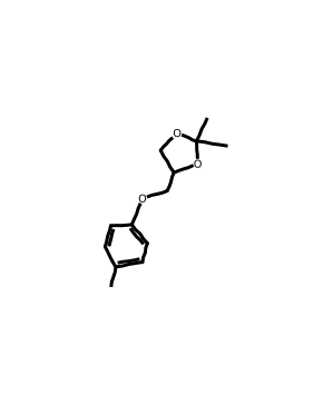 Cc1ccc(OCC2COC(C)(C)O2)cc1